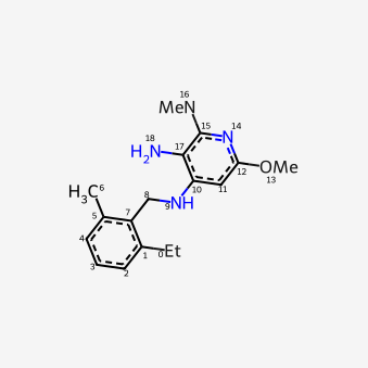 CCc1cccc(C)c1CNc1cc(OC)nc(NC)c1N